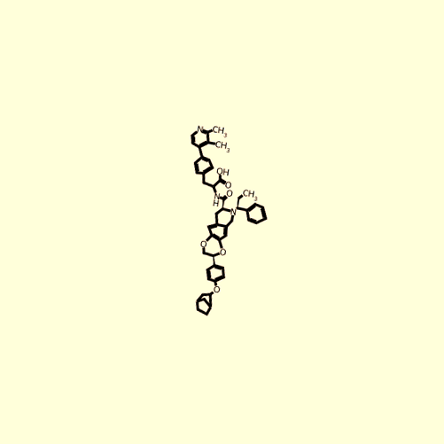 CC[C@@H](c1ccccc1)N1Cc2cc3c(cc2C[C@H]1C(=O)NC(Cc1ccc(-c2ccnc(C)c2C)cc1)C(=O)O)OC[C@H](c1ccc(OC2CC4CCC2C4)cc1)O3